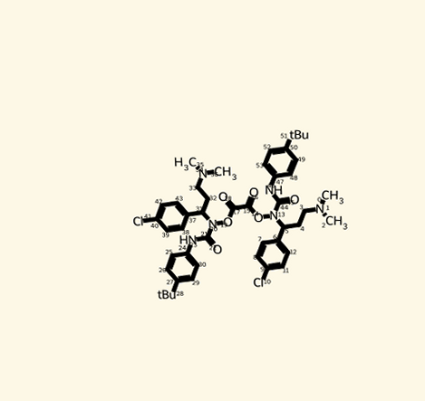 CN(C)CCC(c1ccc(Cl)cc1)N(OC(=O)C(=O)ON(C(=O)Nc1ccc(C(C)(C)C)cc1)C(CCN(C)C)c1ccc(Cl)cc1)C(=O)Nc1ccc(C(C)(C)C)cc1